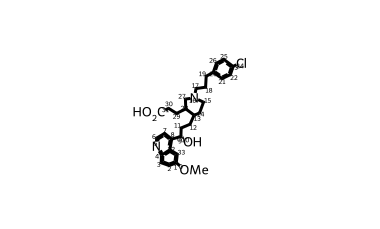 COc1ccc2nccc([C@@H](O)CCC3CCN(CCCc4ccc(Cl)cc4)CC3CCC(=O)O)c2c1